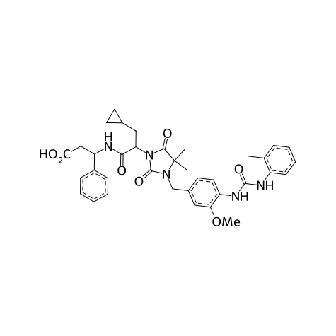 COc1cc(CN2C(=O)N(C(CC3CC3)C(=O)NC(CC(=O)O)c3ccccc3)C(=O)C2(C)C)ccc1NC(=O)Nc1ccccc1C